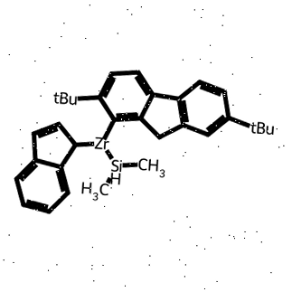 C[SiH](C)[Zr]([c]1c(C(C)(C)C)ccc2c1Cc1cc(C(C)(C)C)ccc1-2)[CH]1C=Cc2ccccc21